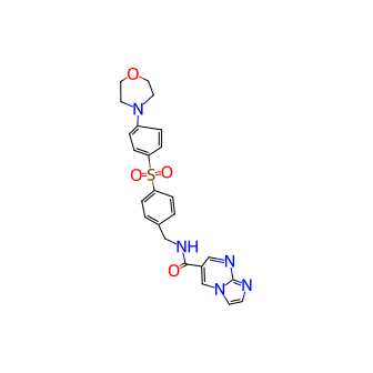 O=C(NCc1ccc(S(=O)(=O)c2ccc(N3CCOCC3)cc2)cc1)c1cnc2nccn2c1